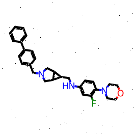 Fc1cc(NCC2C3CN(Cc4ccc(-c5ccccc5)cc4)CC23)ccc1N1CCOCC1